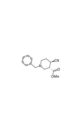 COC(=O)[C@@H]1CN(Cc2ccccc2)CC[C@H]1C#N